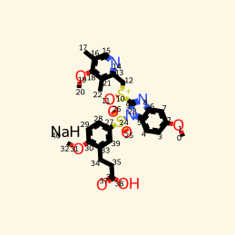 COc1ccc2c(c1)nc([S+]([O-])Cc1ncc(C)c(OC)c1C)n2S(=O)(=O)c1ccc(OC)c(CCC(=O)O)c1.[NaH]